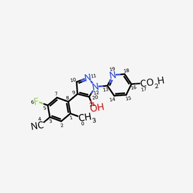 Cc1cc(C#N)c(F)cc1-c1cnn(-c2ccc(C(=O)O)cn2)c1O